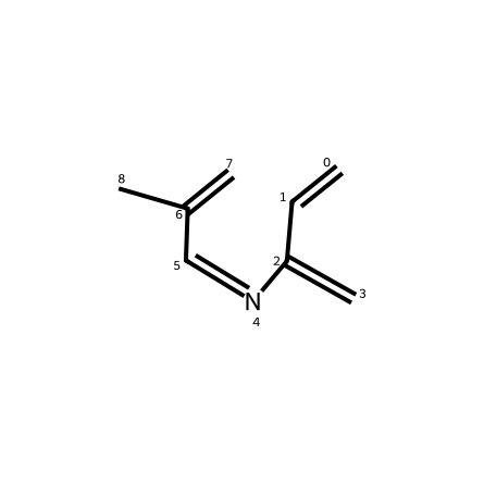 C=CC(=C)/N=C\C(=C)C